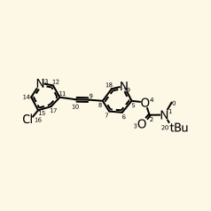 CN(C(=O)Oc1ccc(C#Cc2cncc(Cl)c2)cn1)C(C)(C)C